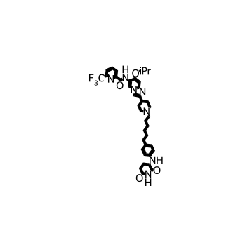 CC(C)Oc1cc2nc(C3CCN(CCCCCCc4ccc(NC5CCC(=O)NC5=O)cc4)CC3)cn2cc1NC(=O)c1cccc(C(F)(F)F)n1